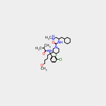 CNCC(CC1CCCCC1)NC(=O)N1CCCC(C(CCCCOC)(NC(=O)C(C)C)c2cccc(Cl)c2F)C1